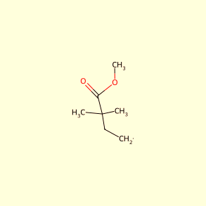 [CH2]CC(C)(C)C(=O)OC